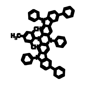 Cc1cc(C)c(B2c3cc4c(cc3N(c3ccccc3)c3cc5c6cc(-c7ccccc7)ccc6n(-c6ccccc6)c5cc32)c2cc(-c3ccccc3)ccc2n4-c2ccccc2)c(C)c1